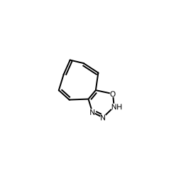 c1cccc2o[nH]nnc=2cc1